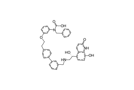 O=C(O)N(Cc1ccccc1)c1cccc(OCCc2ccc(-c3cccc(CNC[C@H](O)c4ccc(O)c5[nH]c(=O)ccc45)c3)cc2)c1